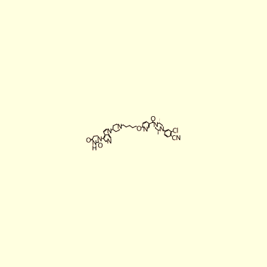 C[C@@H]1CN(c2ccc(C#N)c(Cl)c2)[C@@H](C)CN1C(=O)c1ccc(OCCCCCN2CCC(n3ccc4c(N5CCC(=O)NC5=O)cncc43)CC2)nc1